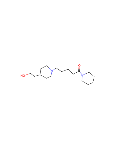 O=C(CCCCN1CCC(CCO)CC1)N1CCCCC1